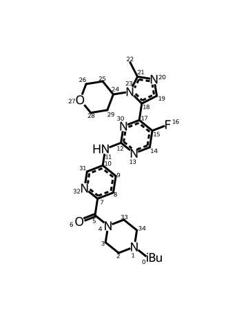 CCC(C)N1CCN(C(=O)c2ccc(Nc3ncc(F)c(-c4cnc(C)n4C4CCOCC4)n3)cn2)CC1